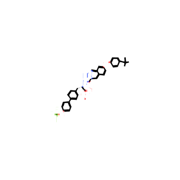 COC(=O)[C@H](Cc1ccc(-c2ccc(OC(F)(F)F)cc2)cc1)NC(=O)c1cc2ccc(Oc3ccc(C(C)(C)C)cc3)cc2cn1